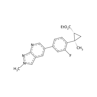 CCOC(=O)[C@@H]1C[C@@]1(C)c1ccc(-c2cnc3nn(C)cc3c2)cc1F